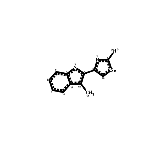 [2H]c1nc(-c2sc3ccccc3c2C)cs1